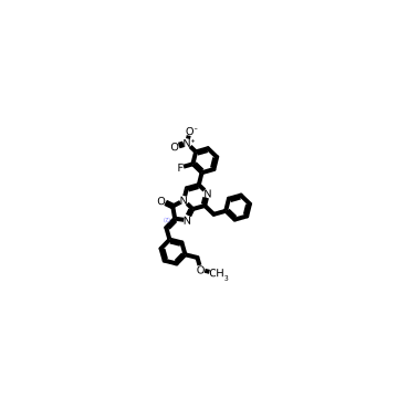 COCc1cccc(/C=C2\N=C3C(Cc4ccccc4)=NC(c4cccc([N+](=O)[O-])c4F)=CN3C2=O)c1